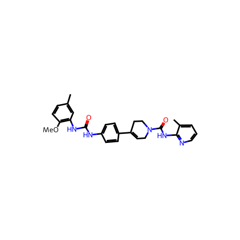 COc1ccc(C)cc1NC(=O)Nc1ccc(C2=CCN(C(=O)Nc3ncccc3C)CC2)cc1